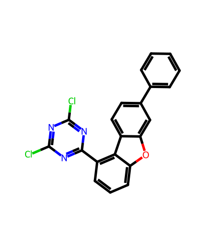 Clc1nc(Cl)nc(-c2cccc3oc4cc(-c5ccccc5)ccc4c23)n1